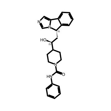 O=C(Nc1ccccc1)N1CCC([C@@H](O)C[C@H]2c3ccccc3-c3cncn32)CC1